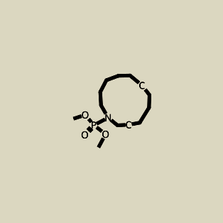 COP(=O)(OC)N1CCCCCCCCCCC1